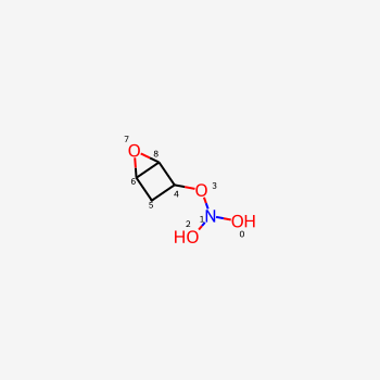 ON(O)OC1CC2OC21